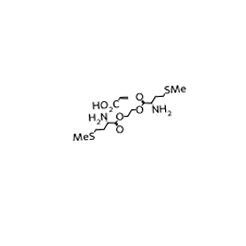 C=CC(=O)O.CSCC[C@H](N)C(=O)OCCOC(=O)[C@@H](N)CCSC